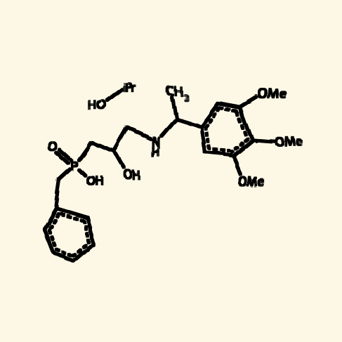 CC(C)O.COc1cc(C(C)NCC(O)CP(=O)(O)Cc2ccccc2)cc(OC)c1OC